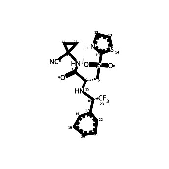 N#CC1(NC(=O)[C@H](CS(=O)(=O)c2nccs2)N[C@@H](c2ccccc2)C(F)(F)F)CC1